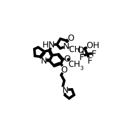 COc1cc2c(NC3CC(=O)N(C)C3)c3c(nc2cc1OCCCN1CCCC1)CCC3.O=C(O)C(F)(F)F